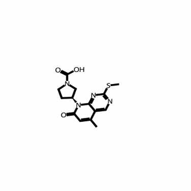 CSc1ncc2c(C)cc(=O)n([C@H]3CCN(C(=O)O)C3)c2n1